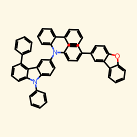 c1ccc(-c2ccccc2N(c2ccc(-c3ccc4oc5ccccc5c4c3)cc2)c2ccc3c(c2)c2c(-c4ccccc4)cccc2n3-c2ccccc2)cc1